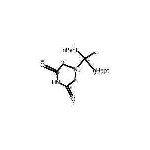 CCCCCCCC(C)(CCCCC)N1CC(=O)NC(=O)C1